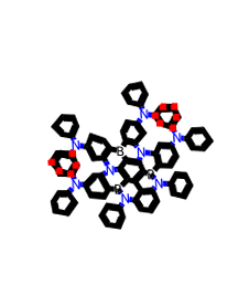 c1ccc(N2B3c4ccc(N(c5ccccc5)c5ccccc5)cc4N4c5cc(N(c6ccccc6)c6ccccc6)ccc5B5c6ccc(N(c7ccccc7)c7ccccc7)cc6N6c7cc(N(c8ccccc8)c8ccccc8)ccc7B7c8c(c3c4c5c86)-c3c2cccc3N7c2ccccc2)cc1